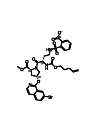 C=CCCCOC(=O)N[C@@H](CCNS(=O)(=O)c1ccccc1[N+](=O)[O-])C(=O)N1C[C@H](Oc2nccc3ccc(Br)cc23)C[C@H]1C(=O)OC